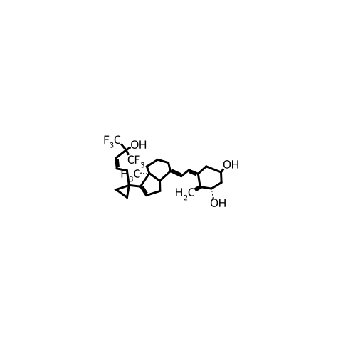 C=C1/C(=C\C=C2/CCC[C@]3(C)C(C4(C/C=C\C(O)(C(F)(F)F)C(F)(F)F)CC4)=CCC23)CC(O)C[C@@H]1O